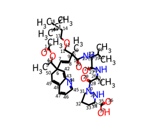 CC(=O)O[C@H](C)C1(C=C[C@](C)(COCC[Si](C)(C)C)C(=O)N[C@H](C(=O)N[C@@H](C)C(=O)N2CCC[C@@H](C(=O)O)N2)C(C)C)C=c2ncccc2=CC1